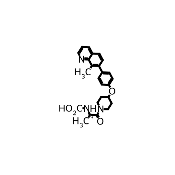 Cc1c(-c2ccc(OC3CCN(C(=O)[C@@H](C)NC(=O)O)CC3)cc2)ccc2cccnc12